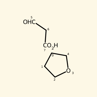 C1CCOC1.O=CCC(=O)O